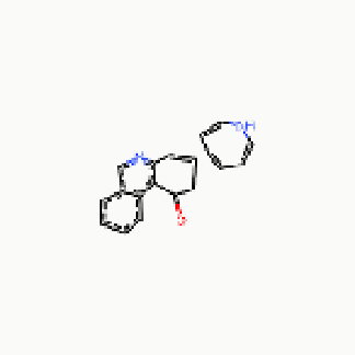 C1=CC=CNC=C1.O=C1CC=Cc2ncc3ccccc3c21